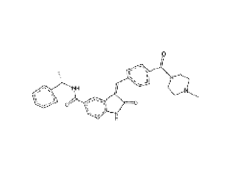 C[C@H](NC(=O)c1ccc2c(c1)/C(=C/c1ccc(C(=O)N3CCN(C)CC3)cc1)C(=O)N2)c1ccccc1